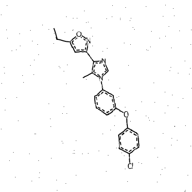 CCc1cc(-c2ncn(-c3cccc(Oc4ccc(Cl)cc4)c3)c2C)no1